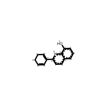 Oc1cccc2ccc(C3=CCCC=C3)nc12